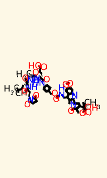 CC[C@@]1(O)C(=O)OCc2c1cc1n(c2=O)Cc2c-1nc1cc3c(cc1c2CNC(=O)OCc1ccc(NC(=O)[C@H](CCC(=O)O)NC(=O)[C@H](C)NC(=O)[C@@H](CCC(C)C)NC(=O)CCN2C(=O)C=CC2=O)cc1)OCO3